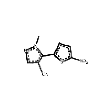 Cn1ncc(C#N)c1-c1ccc([N+](=O)[O-])o1